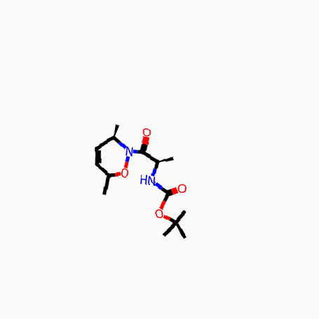 CC1C=C[C@@H](C)N(C(=O)[C@@H](C)NC(=O)OC(C)(C)C)O1